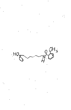 Cc1ccccc1C(=O)NCCCCCCCC(=O)O